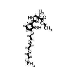 CCOC(=O)C1(C)CNC(c2nccc(OCCOCCOCCOC)c2O)=N1